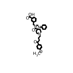 COc1ccc(C(=O)CCCN2CCC3(CC2)C(=O)N(Cc2cccc(C(=O)O)c2)CN3c2ccccc2)cc1